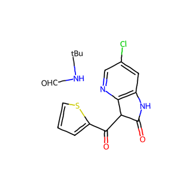 CC(C)(C)NC=O.O=C1Nc2cc(Cl)cnc2C1C(=O)c1cccs1